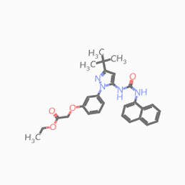 CCOC(=O)COc1cccc(-n2nc(C(C)(C)C)cc2NC(=O)Nc2cccc3ccccc23)c1